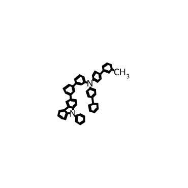 CC1C=C(c2ccc(N(c3ccc(C4C=CC=CC4)cc3)c3cccc(-c4cccc(-c5ccc6c(c5)c5ccccc5n6-c5ccccc5)c4)c3)cc2)C=CC1